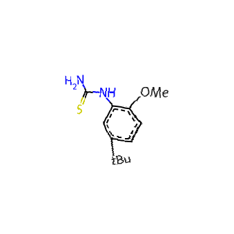 COc1ccc(C(C)(C)C)cc1NC(N)=S